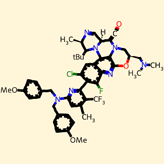 COc1ccc(CN(Cc2ccc(OC)cc2)c2cc(C)c(C(F)(F)F)c(-c3c(Cl)cc4c5c6c(nc4c3F)O[C@H](CN(C)C)CN6C(=C=O)[C@@H]3C=N[C@H](C)C(C(C)(C)C)N53)n2)cc1